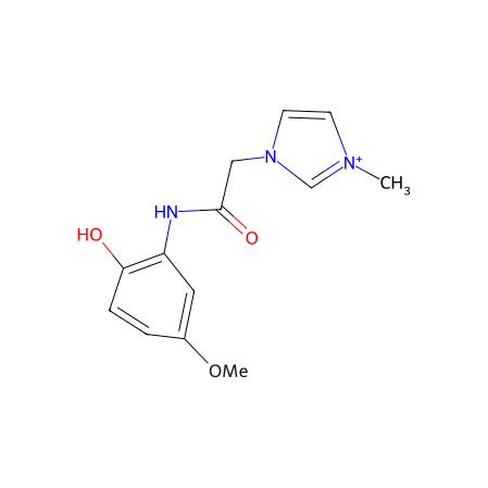 COc1ccc(O)c(NC(=O)Cn2cc[n+](C)c2)c1